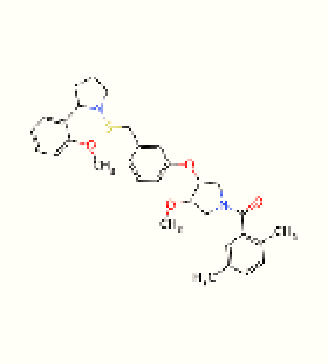 COc1ccccc1C1CCCN1SCc1cccc(OC2CN(C(=O)c3cc(C)ccc3C)CC2OC)c1